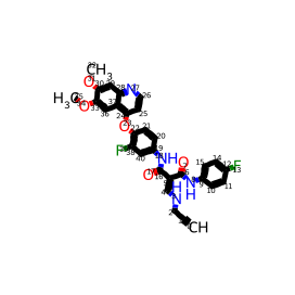 C#CCN/C=C(\C(=O)Nc1ccc(F)cc1)C(=O)Nc1ccc(Oc2ccnc3cc(OC)c(OC)cc23)c(F)c1